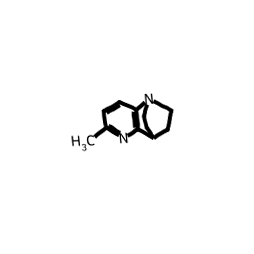 Cc1ccc2c(n1)C1CCN2CC1